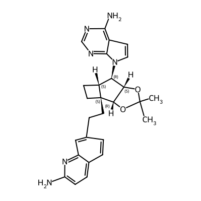 CC1(C)O[C@H]2[C@H](n3ccc4c(N)ncnc43)[C@H]3CC[C@@]3(CCc3ccc4ccc(N)nc4c3)[C@H]2O1